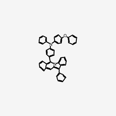 c1ccc(Oc2ccc(N(c3ccccc3)c3ccc(-c4c5ccccc5cc5c(-c6ccccc6)c6ccccc6n45)cc3)cc2)cc1